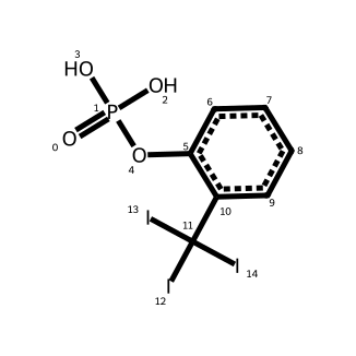 O=P(O)(O)Oc1ccccc1C(I)(I)I